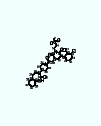 CS(=O)(=O)CCn1c(=O)c(-c2cccc(Cl)c2Cl)cn(CC(=O)N2CCC(N3CCc4ccccc4NC3=O)CC2)c1=O